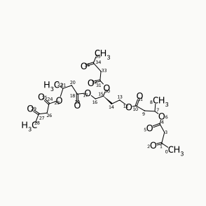 CC(=O)CC(=O)OC(C)CC(=O)OCC[C@@H](COC(=O)CC(C)OC(=O)CC(C)=O)OC(=O)CC(C)=O